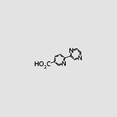 O=C(O)c1ccc(-c2cnccn2)nc1